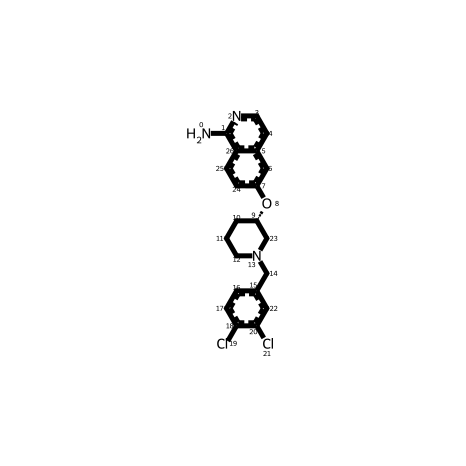 Nc1nccc2cc(O[C@H]3CCCN(Cc4ccc(Cl)c(Cl)c4)C3)ccc12